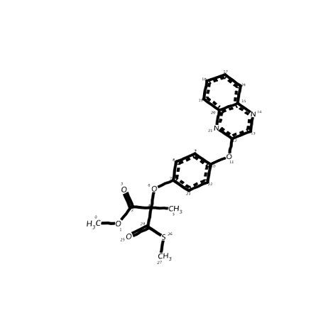 COC(=O)C(C)(Oc1ccc(Oc2cnc3ccccc3n2)cc1)C(=O)SC